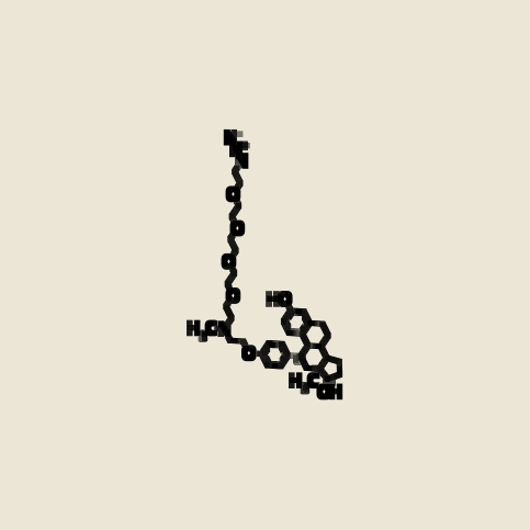 CN(CCOCCOCCOCCOCCN=[N+]=[N-])CCOc1ccc([C@H]2C[C@@]3(C)C(CC[C@@H]3O)C3CCc4cc(O)ccc4C32)cc1